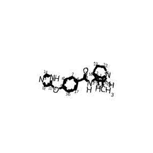 C[C@H]1[C@H](NC(=O)c2ccc(Oc3cnc[nH]3)cc2)C2CCN1CC2